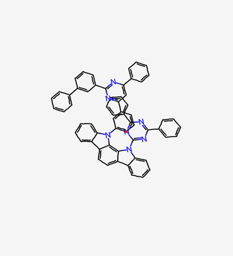 c1ccc(-c2cccc(-c3nc(-c4ccccc4)cc(-c4cccc(-n5c6ccccc6c6ccc7c8ccccc8n(-c8nc(-c9ccccc9)nc(-c9ccccc9)n8)c7c65)c4)n3)c2)cc1